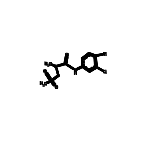 CN(CS(C)(=O)=O)C(=O)Nc1ccc(Cl)c(Cl)c1